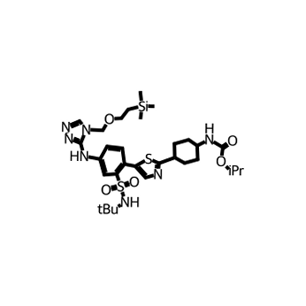 CC(C)OC(=O)NC1CCC(c2ncc(-c3ccc(Nc4nncn4COCC[Si](C)(C)C)cc3S(=O)(=O)NC(C)(C)C)s2)CC1